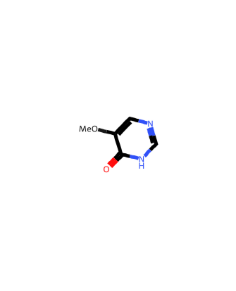 COc1cnc[nH]c1=O